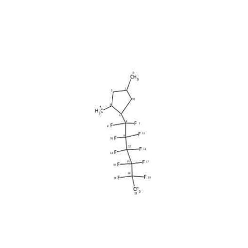 CC1CC(C)C(C(F)(F)C(F)(F)C(F)(F)C(F)(F)C(F)(F)C(F)(F)F)C1